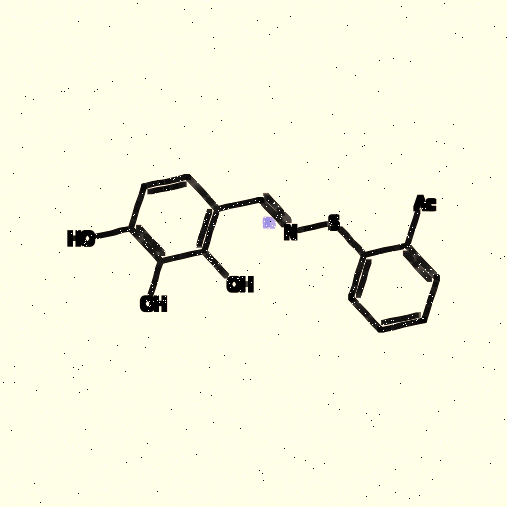 CC(=O)c1ccccc1S/N=C/c1ccc(O)c(O)c1O